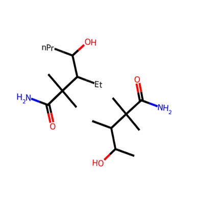 CC(O)C(C)C(C)(C)C(N)=O.CCCC(O)C(CC)C(C)(C)C(N)=O